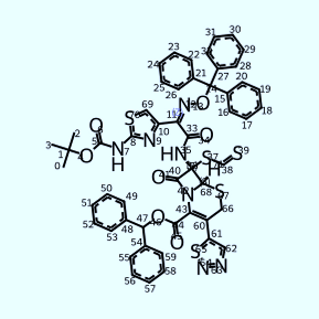 CC(C)(C)OC(=O)Nc1nc(/C(=N/OC(c2ccccc2)(c2ccccc2)c2ccccc2)C(=O)N[C@]2(SC=S)C(=O)N3C(C(=O)OC(c4ccccc4)c4ccccc4)=C(c4cnns4)CS[C@H]32)cs1